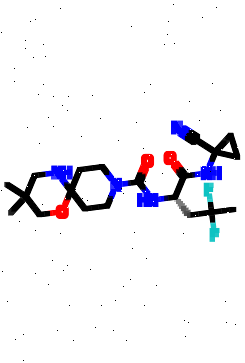 CC(F)(F)C[C@H](NC(=O)N1CCC2(CC1)NCC(C)(C)CO2)C(=O)NC1(C#N)CC1